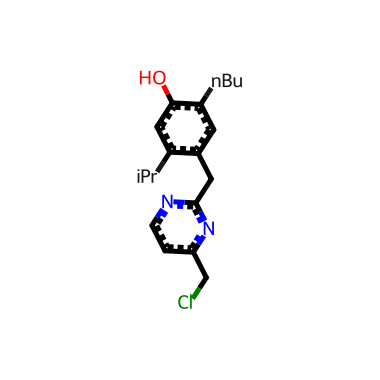 CCCCc1cc(Cc2nccc(CCl)n2)c(C(C)C)cc1O